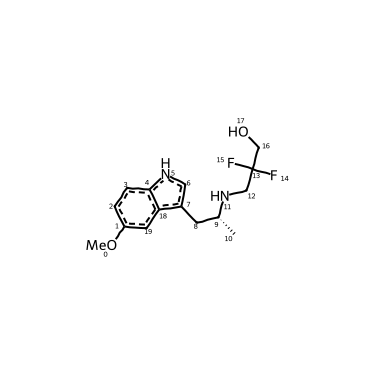 COc1ccc2[nH]cc(C[C@@H](C)NCC(F)(F)CO)c2c1